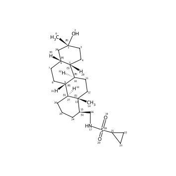 C[C@@]1(O)CC[C@H]2[C@H](CC[C@@H]3[C@@H]2CC[C@]2(C)[C@@H](CNS(=O)(=O)C4CC4)CCC[C@@H]32)C1